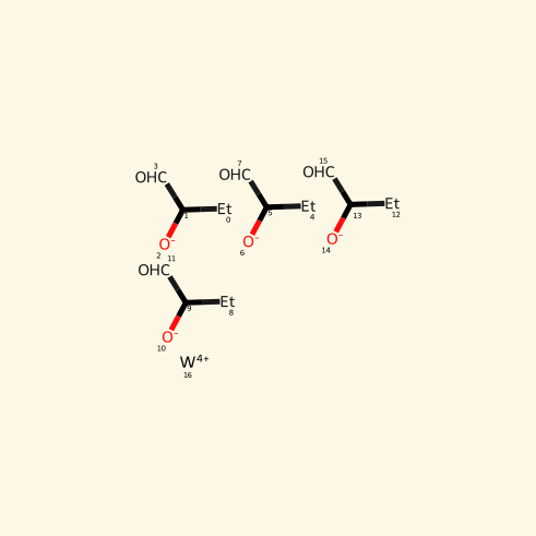 CCC([O-])C=O.CCC([O-])C=O.CCC([O-])C=O.CCC([O-])C=O.[W+4]